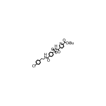 CC(C)COC(=O)c1ccc(C(=O)NS(=O)(=O)c2ccc(C(=O)NCCc3ccc(Cl)cc3)cc2)cn1